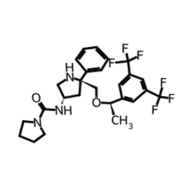 C[C@@H](OC[C@@]1(c2ccccc2)C[C@H](NC(=O)N2CCCC2)CN1)c1cc(C(F)(F)F)cc(C(F)(F)F)c1